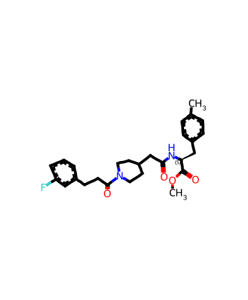 COC(=O)[C@H](Cc1ccc(C)cc1)NC(=O)CC1CCN(C(=O)CCc2cccc(F)c2)CC1